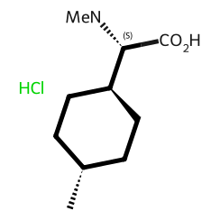 CN[C@H](C(=O)O)[C@H]1CC[C@H](C)CC1.Cl